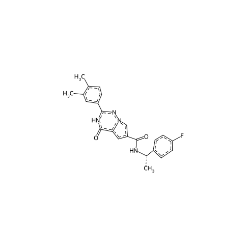 Cc1ccc(-c2nn3cc(C(=O)N[C@@H](C)c4ccc(F)cc4)cc3c(=O)[nH]2)cc1C